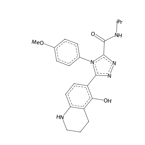 COc1ccc(-n2c(C(=O)NC(C)C)nnc2-c2ccc3c(c2O)CCCN3)cc1